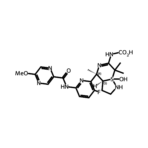 COc1cnc(C(=O)Nc2ccc(F)c([C@@]3(C)N=C(NC(=O)O)C(C)(C)S4(O)NCC[C@@H]34)n2)cn1